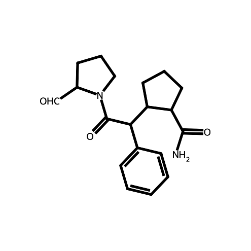 NC(=O)C1CCCC1C(C(=O)N1CCCC1C=O)c1ccccc1